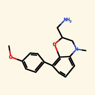 COc1ccc(-c2cccc3c2OC(CN)CN3C)cc1